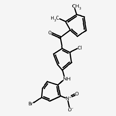 Cc1cccc(C(=O)c2ccc(Nc3ccc(Br)cc3[N+](=O)[O-])cc2Cl)c1C